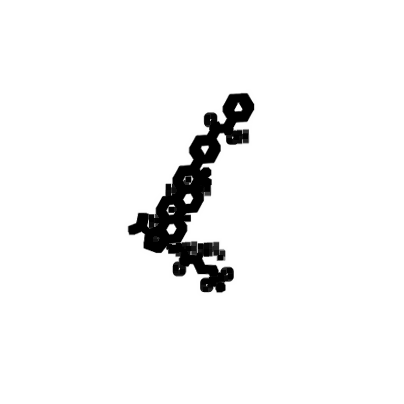 C=C(C)[C@@H]1CC[C@]2(CNC(=O)[C@H](N)CCS(C)(=O)=O)CC[C@]3(C)[C@H](CC[C@@H]4[C@@]5(C)CC=C(c6ccc(C(=O)C(O)c7ccccc7)cc6)C(C)(C)[C@@H]5CC[C@]43C)[C@@H]12